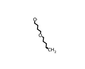 C=CCCCOCCCC[O]